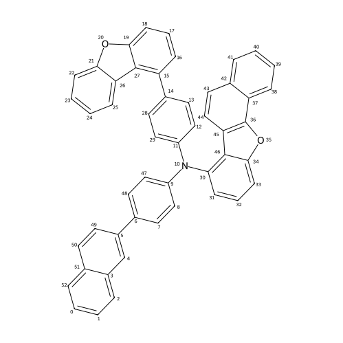 c1ccc2cc(-c3ccc(N(c4ccc(-c5cccc6oc7ccccc7c56)cc4)c4cccc5oc6c7ccccc7ccc6c45)cc3)ccc2c1